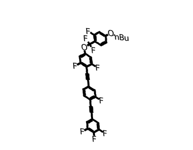 CCCCOc1ccc(C(F)(F)Oc2cc(F)c(C#Cc3ccc(C#Cc4cc(F)c(F)c(F)c4)c(F)c3)c(F)c2)c(F)c1